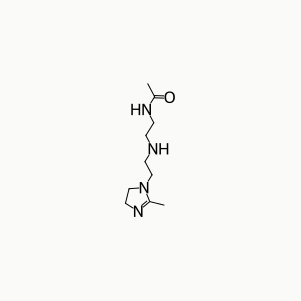 CC(=O)NCCNCCN1CCN=C1C